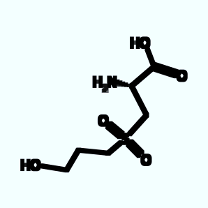 N[C@@H](CS(=O)(=O)CCCO)C(=O)O